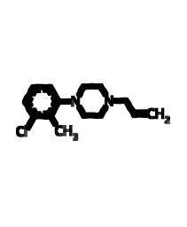 C=CCN1CCN(c2cccc(Cl)c2C)CC1